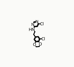 Clc1cc(NCCc2cc(Cl)c3c(c2)OCCO3)ncn1